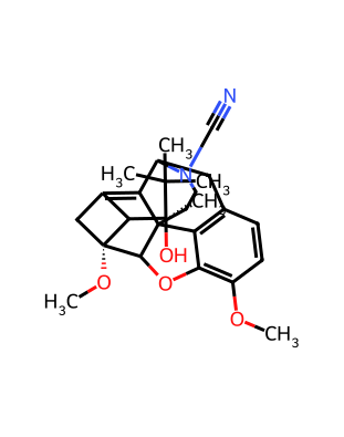 COc1ccc2c3c1OC1C34CCN(C#N)C(C2)C4=C2C[C@@]1(OC)C2[C@](C)(O)C(C)(C)C